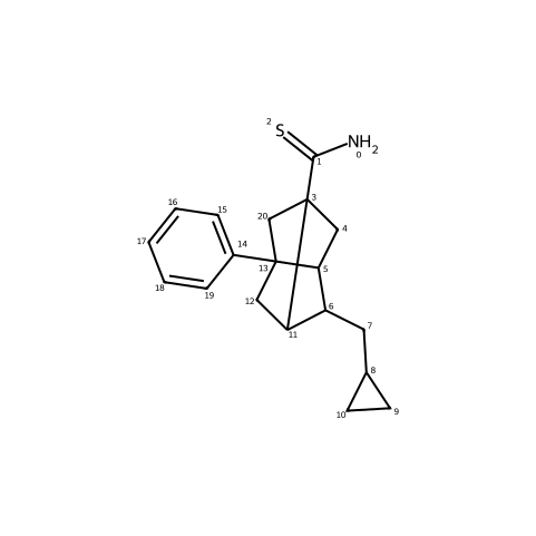 NC(=S)C12CC3C(CC4CC4)C1CC3(c1ccccc1)C2